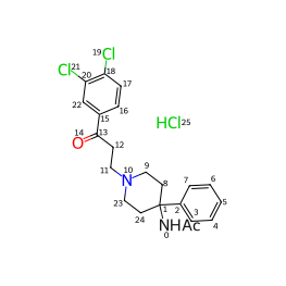 CC(=O)NC1(c2ccccc2)CCN(CCC(=O)c2ccc(Cl)c(Cl)c2)CC1.Cl